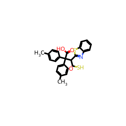 Cc1ccc(C(C(=O)O)(c2ccc(C)cc2)C(C(=O)S)c2nc3ccccc3s2)cc1